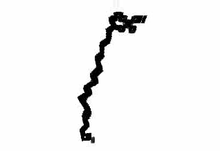 CCCCCCCCCCCCCCCCC(C=O)OS(=O)(=O)O